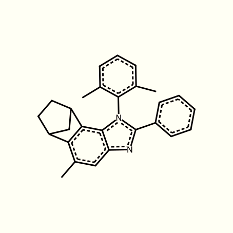 Cc1cc2nc(-c3ccccc3)n(-c3c(C)cccc3C)c2c2c1C1CCC2C1